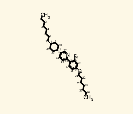 CCCCCCCC[C@H]1CC[C@H](c2ccc(-c3ccc(OCCCCCCC)cc3F)nc2)CC1